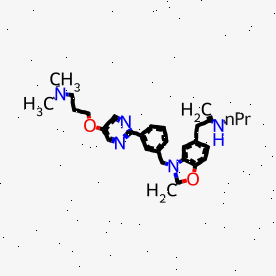 C=C(Cc1ccc2c(c1)N(Cc1cccc(-c3ncc(OCCCN(C)C)cn3)c1)C(=C)O2)NCCC